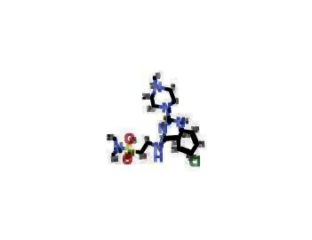 CN1CCN(c2nc(NCCS(=O)(=O)N(C)C)c3cc(Cl)ccc3n2)CC1